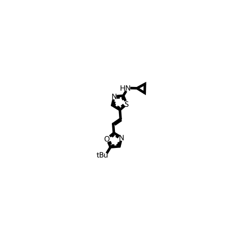 CC(C)(C)c1cnc(C=Cc2cnc(NC3CC3)s2)o1